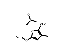 CCCCCOc1cc(C)c(C=O)o1.C[S+](C)[O-]